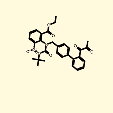 CCOC(=O)c1cccc([N+](=O)[O-])c1N(Cc1ccc(-c2ccccc2C(=O)C(C)=O)cc1)C(=O)OC(C)(C)C